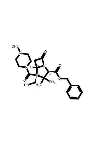 CC1(C)[C@H](C(=O)OCc2ccccc2)N2C(=O)C[C@H]2[S@@]1(CO)C(=O)N1CCN(C=O)CC1